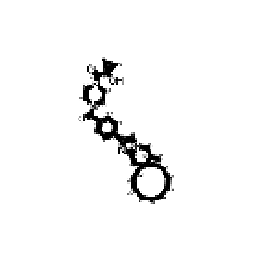 O=C(c1ccc(-c2cn3c(n2)CC2(CCCCCCCCCC2)C(F)C3)cc1)N1CCN(C(=O)C2(O)CC2)CC1